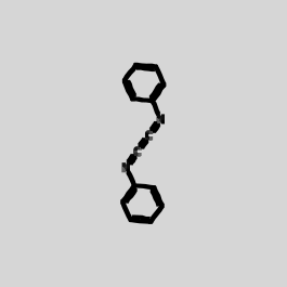 C(=C=Nc1ccccc1)=Nc1ccccc1